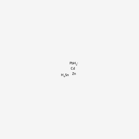 [Cd].[PbH2].[SnH4].[Zn]